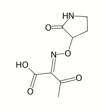 CC(=O)/C(=N\OC1CCNC1=O)C(=O)O